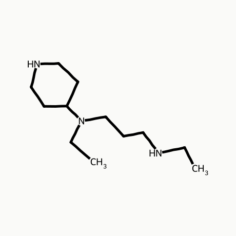 CCNCCCN(CC)C1CCNCC1